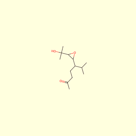 CC(=O)CCC(C(C)C)C1OC1C(C)(C)O